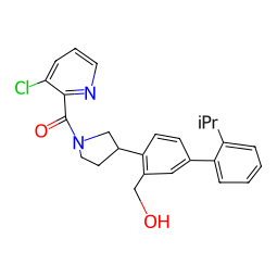 CC(C)c1ccccc1-c1ccc(C2CCN(C(=O)c3ncccc3Cl)C2)c(CO)c1